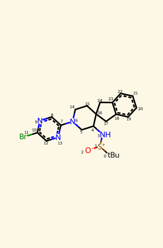 CC(C)(C)[S+]([O-])NC1CN(c2cnc(Br)cn2)CCC12Cc1ccccc1C2